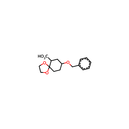 O=C(O)C1CC(OCc2ccccc2)CCC12OCCO2